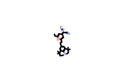 [C-]#[N+]/C(C#N)=C1C=C(/C=C/c2cc3c4c(c2)C(C)(C)CCN4CCC3(C)C)OC(CC)=C/1